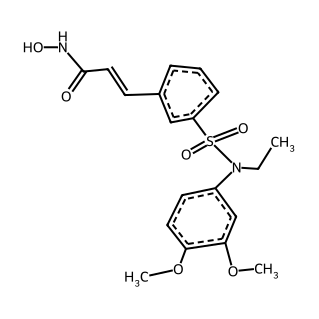 CCN(c1ccc(OC)c(OC)c1)S(=O)(=O)c1cccc(C=CC(=O)NO)c1